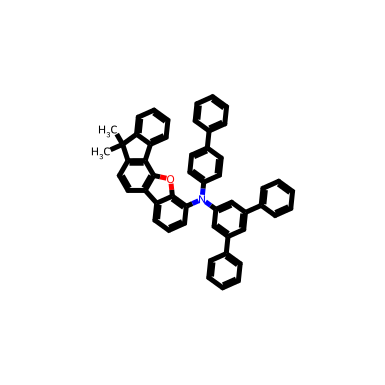 CC1(C)c2ccccc2-c2c1ccc1c2oc2c(N(c3ccc(-c4ccccc4)cc3)c3cc(-c4ccccc4)cc(-c4ccccc4)c3)cccc21